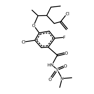 C=C(Cl)CC(CC)C(C)Oc1cc(F)c(C(=O)NS(=O)(=O)N(C)C)cc1Cl